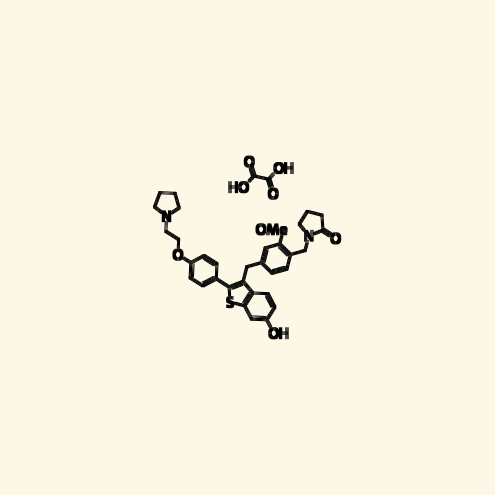 COc1cc(Cc2c(-c3ccc(OCCN4CCCC4)cc3)sc3cc(O)ccc23)ccc1CN1CCCC1=O.O=C(O)C(=O)O